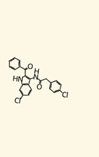 O=C(Cc1ccc(Cl)cc1)Nc1c(C(=O)c2ccccc2)[nH]c2cc(Cl)ccc12